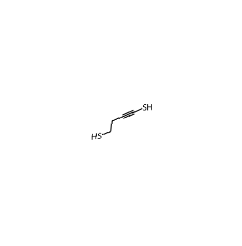 SC#CCCS